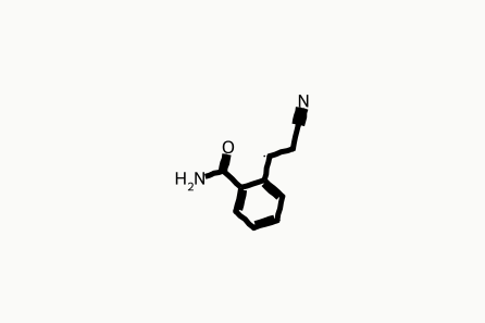 N#CC[CH]c1ccccc1C(N)=O